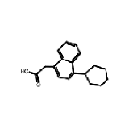 O=C(O)Cc1ccc(C2CCCCC2)c2ccccc12